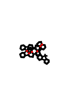 CC1(C)c2ccccc2-c2ccc(N(c3ccc4c(c3)C3(c5ccccc5-c5ccc(N(c6ccccc6)c6ccccc6-c6ccccc6)cc53)c3ccccc3-4)c3ccccc3-c3ccccc3)cc21